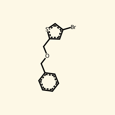 Brc1csc(COCc2ccccc2)c1